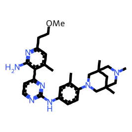 COCCc1cc(C)c(-c2ccnc(Nc3ccc(N4CC5(C)CN(C)CC(C)(C4)C5)c(C)c3)n2)c(N)n1